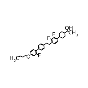 C=CCCOc1ccc(-c2ccc(CCc3ccc(C4CCC(C(C)O)CC4)c(F)c3F)cc2)c(F)c1